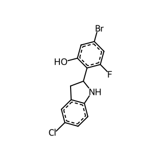 Oc1cc(Br)cc(F)c1C1Cc2cc(Cl)ccc2N1